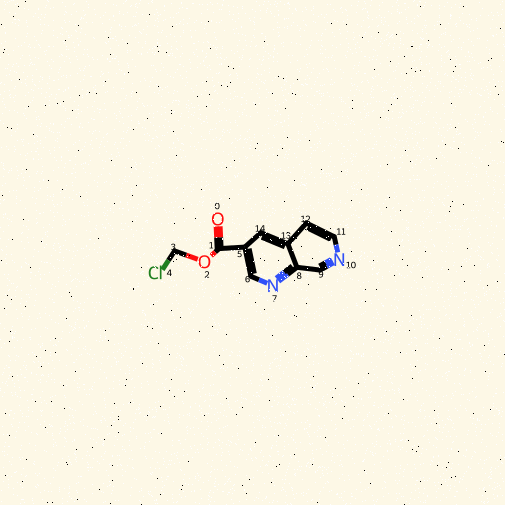 O=C(OCCl)c1cnc2cnccc2c1